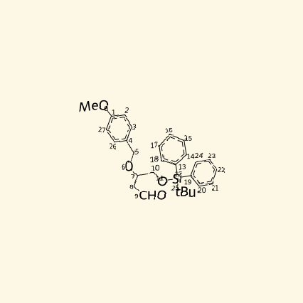 COc1ccc(COC(CC=O)CO[Si](c2ccccc2)(c2ccccc2)C(C)(C)C)cc1